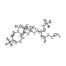 C=C(C/C=C(\C=C(\F)CCC)OCC(F)(F)F)CN(/C1=C/C/C=C(C(F)(F)F)\N=C/C1)N(C)C